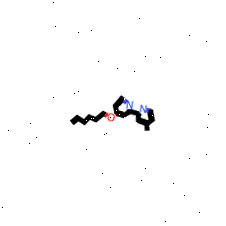 C=CCCCCOc1ccnc(-c2cc(C)ccn2)c1